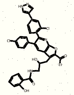 CCC(=O)c1oc2nc(-c3ccc(-c4cn[nH]c4)cc3Cl)c(-c3ccc(Cl)cc3)cc2c1CC(O)CNC(=O)c1ccccc1O